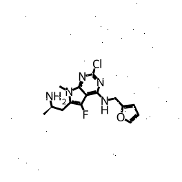 C[C@@H](N)Cc1c(F)c2c(NCc3ccco3)nc(Cl)nc2n1C